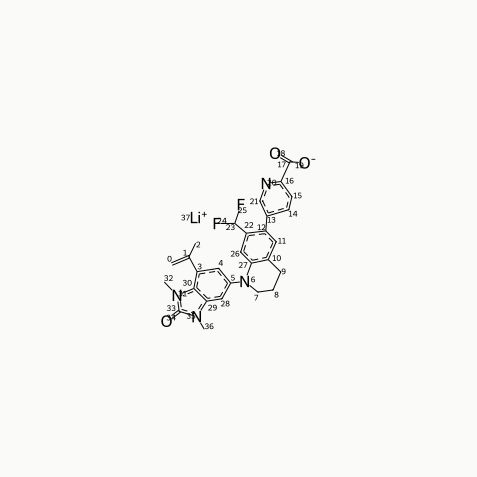 C=C(C)c1cc(N2CCCc3cc(-c4ccc(C(=O)[O-])nc4)c(C(F)F)cc32)cc2c1n(C)c(=O)n2C.[Li+]